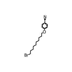 N#Cc1ccc(OCCCCCCCCCCBr)cc1